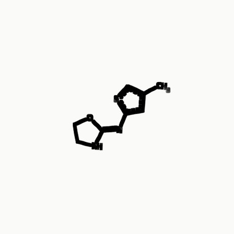 Cc1csc(N=C2NCCO2)c1